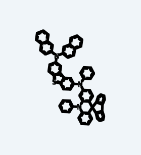 c1ccc(N(c2ccc3c(c2)N(c2ccccc2)c2ccccc2C32c3ccccc3-c3ccccc32)c2ccc3sc4ccc(N(c5ccc6ccccc6c5)c5ccc6ccccc6c5)cc4c3c2)cc1